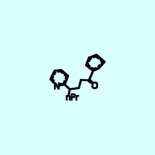 CCCC(CCC(=O)c1ccccc1)c1ccccn1